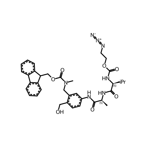 CC(C)[C@H](NC(=O)OCCN=[N+]=[N-])C(=O)N[C@@H](C)C(=O)Nc1ccc(CO)c(CN(C)C(=O)OCC2c3ccccc3-c3ccccc32)c1